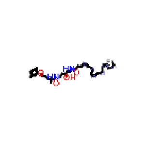 CC/C=C\C/C=C\C/C=C\C/C=C\C/C=C\C/C=C\CCC(=O)NCCC(O)CCNC(=O)C(C)(C)CCCOc1cc(C)ccc1C